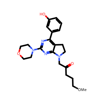 COCCCC(=O)CN1CCc2c(-c3cccc(O)c3)nc(N3CCOCC3)nc21